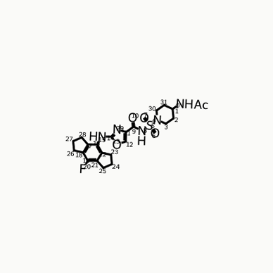 CC(=O)NC1CCN(S(=O)(=O)NC(=O)c2coc(Nc3c4c(c(F)c5c3CCC5)CCC4)n2)CC1